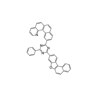 c1ccc(-c2nc(-c3ccc4c(c3)oc3ccc5ccccc5c34)nc(-c3ccc4ccc5ccc6cccnc6c5c4c3)n2)cc1